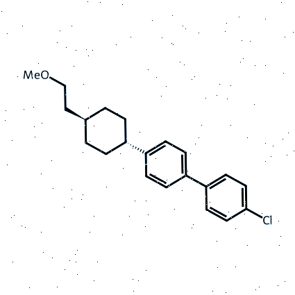 COCC[C@H]1CC[C@H](c2ccc(-c3ccc(Cl)cc3)cc2)CC1